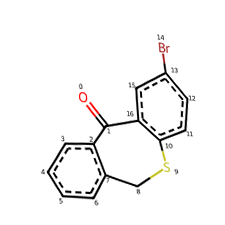 O=C1c2ccccc2CSc2ccc(Br)cc21